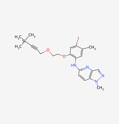 Cc1cc(Nc2ccc3c(cnn3C)n2)c(OCCOCC#C[Si](C)(C)C)cc1I